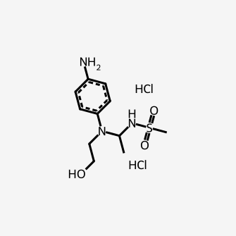 CC(NS(C)(=O)=O)N(CCO)c1ccc(N)cc1.Cl.Cl